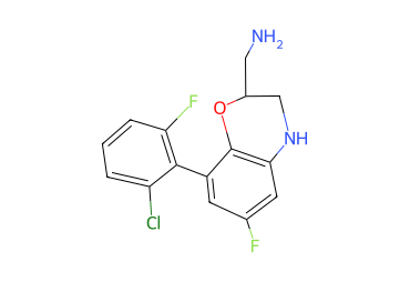 NCC1CNc2cc(F)cc(-c3c(F)cccc3Cl)c2O1